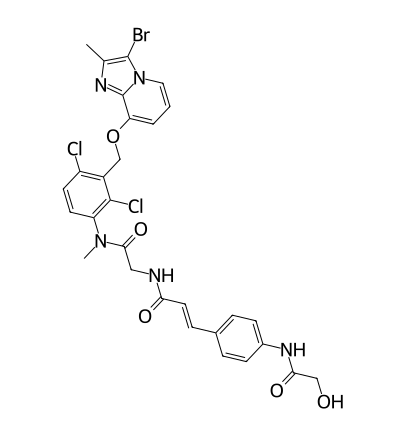 Cc1nc2c(OCc3c(Cl)ccc(N(C)C(=O)CNC(=O)C=Cc4ccc(NC(=O)CO)cc4)c3Cl)cccn2c1Br